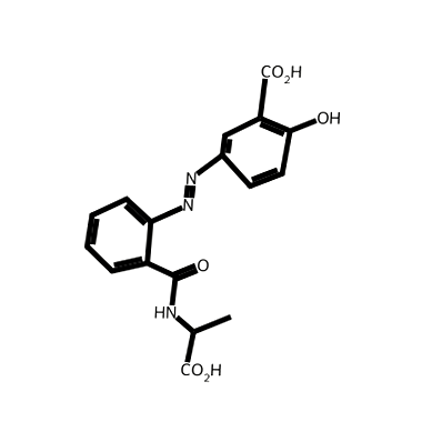 CC(NC(=O)c1ccccc1N=Nc1ccc(O)c(C(=O)O)c1)C(=O)O